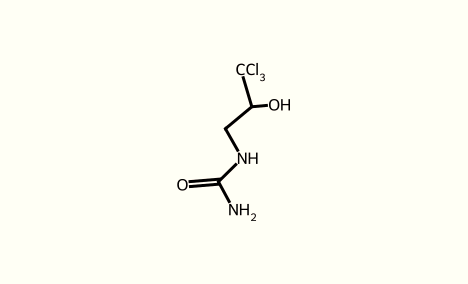 NC(=O)NCC(O)C(Cl)(Cl)Cl